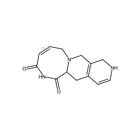 O=C1/C=C\CN2CC3=C(C=CNC3)CC2C(=O)N1